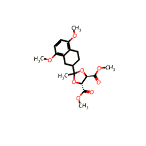 COC(=O)[C@@H]1OC(C)(C2CCc3c(OC)ccc(OC)c3C2)O[C@H]1C(=O)OC